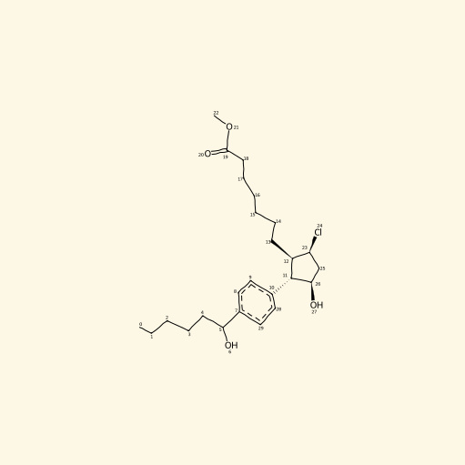 CCCCCC(O)c1ccc([C@@H]2[C@@H](CCCCCCC(=O)OC)[C@@H](Cl)C[C@H]2O)cc1